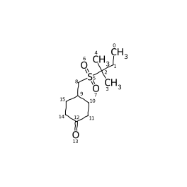 CCC(C)(C)S(=O)(=O)CC1CCC(=O)CC1